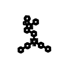 c1ccc(-c2ccc(-c3nc(-c4ccc(-c5ccccc5)cc4)nc(-c4cccc(-c5cccc6c5nc(-c5ccccc5)c5c7ccccc7oc65)c4)n3)cc2)cc1